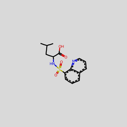 CC(C)CC(NS(=O)(=O)c1cccc2cccnc12)C(=O)O